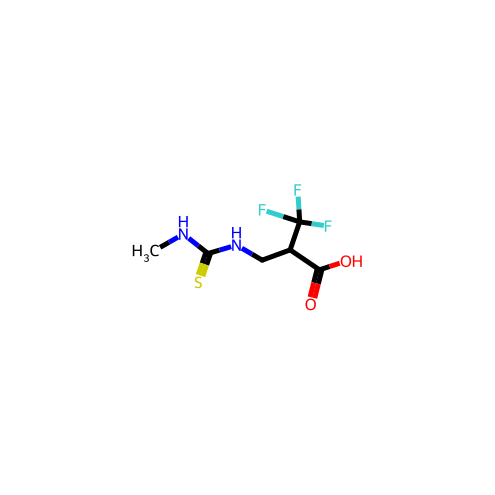 CNC(=S)NCC(C(=O)O)C(F)(F)F